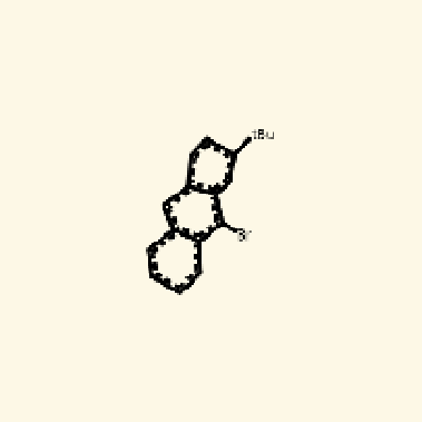 CC(C)(C)c1ccc2cc3ccccc3c(Br)c2c1